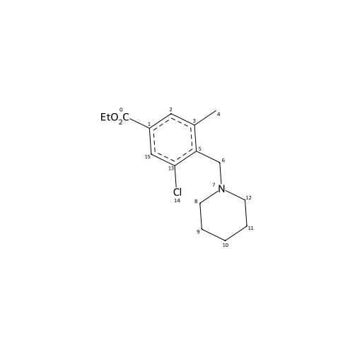 CCOC(=O)c1cc(C)c(CN2CCCCC2)c(Cl)c1